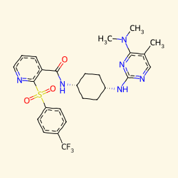 Cc1cnc(N[C@H]2CC[C@@H](NC(=O)c3cccnc3S(=O)(=O)c3ccc(C(F)(F)F)cc3)CC2)nc1N(C)C